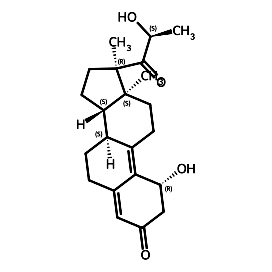 C[C@H](O)C(=O)[C@]1(C)CC[C@H]2[C@@H]3CCC4=CC(=O)C[C@@H](O)C4=C3CC[C@@]21C